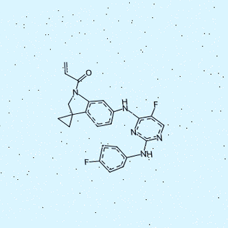 C=CC(=O)N1CC2(CC2)c2ccc(Nc3nc(Nc4ccc(F)cc4)ncc3F)cc21